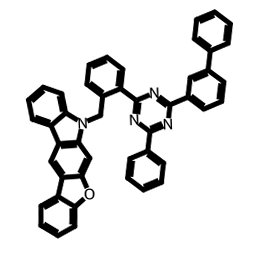 c1ccc(-c2cccc(-c3nc(-c4ccccc4)nc(-c4ccccc4Cn4c5ccccc5c5cc6c(cc54)oc4ccccc46)n3)c2)cc1